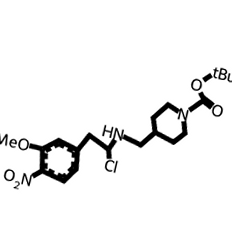 COc1cc(CC(Cl)NCC2CCN(C(=O)OC(C)(C)C)CC2)ccc1[N+](=O)[O-]